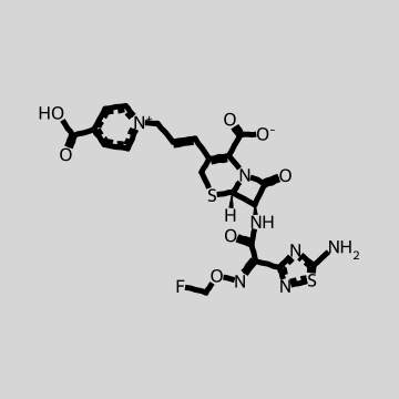 Nc1nc(/C(=N/OCF)C(=O)N[C@@H]2C(=O)N3C(C(=O)[O-])=C(/C=C/C[n+]4ccc(C(=O)O)cc4)CS[C@@H]23)ns1